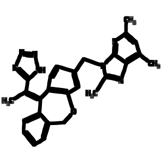 C/C(=C1\c2ccccc2COc2cc(Cn3c(C)nc4c(C)cc(C)nc43)ccc21)c1nnn[nH]1